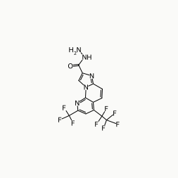 NNC(=O)c1cn2c(ccc3c(C(F)(F)C(F)(F)F)cc(C(F)(F)F)nc32)n1